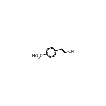 N#CC=Cc1ccc(C(=O)O)cc1